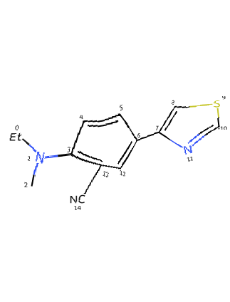 CCN(C)c1ccc(-c2cs[c]n2)cc1C#N